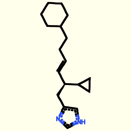 C(=C\[C@H](Cc1c[nH]cn1)C1CC1)/CCC1CCCCC1